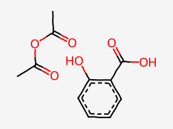 CC(=O)OC(C)=O.O=C(O)c1ccccc1O